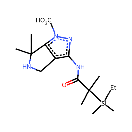 CC[Si](C)(C)C(C)(C)C(=O)Nc1nn(C(=O)O)c2c1CNC2(C)C